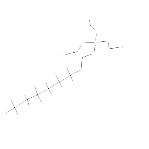 CCO[Si](OCC)(OCC)OCCC(F)(F)C(F)(F)C(F)(F)C(F)(F)C(F)(F)C(F)(F)F